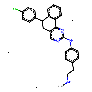 CCCCNCCc1ccc(Nc2ncc3c(n2)-c2ccccc2C(c2ccc(Cl)cc2)C3)cc1